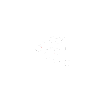 CC(C)(C)c1cc2c(cc1-c1ccccc1)Cc1c-2cc(C(C)(C)C)c(-c2ccccc2)[c]1[Zr+2](=[C](c1cccc(Cl)c1)c1cccc2ccccc12)[CH]1C=CC=C1.[Cl-].[Cl-]